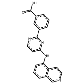 O=C(O)c1cccc(-c2nccc(Nc3cccc4cnccc34)n2)c1